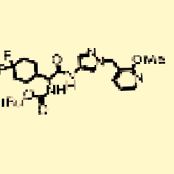 COc1ncccc1Cn1cc(NC(=O)C(NC(=O)OC(C)(C)C)C2CCC(F)(F)CC2)cn1